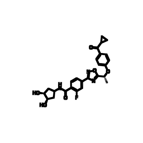 C[C@@H](Oc1ccc(C(=O)C2CC2)cc1)c1nc(-c2ccc(C(=O)NC3C[C@@H](O)[C@@H](O)C3)c(F)c2)no1